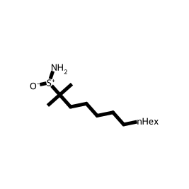 CCCCCCCCCCCC(C)(C)[S+](N)[O-]